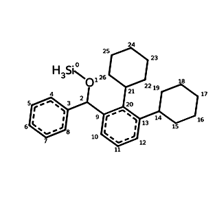 [SiH3]OC(c1ccccc1)c1cccc(C2CCCCC2)c1C1CCCCC1